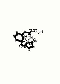 NC(Cc1ccccc1)C(=O)O.O=C1C=CC(=O)N1